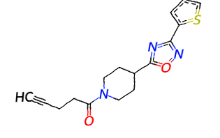 C#CCCC(=O)N1CCC(c2nc(-c3cccs3)no2)CC1